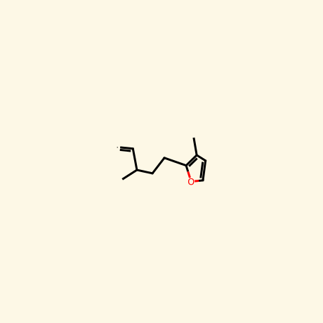 [CH]=CC(C)CCc1occc1C